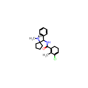 CC1=C(C(=O)NC(c2ccccc2)C2(N(C)C)CCCC2)CCC=C1Cl